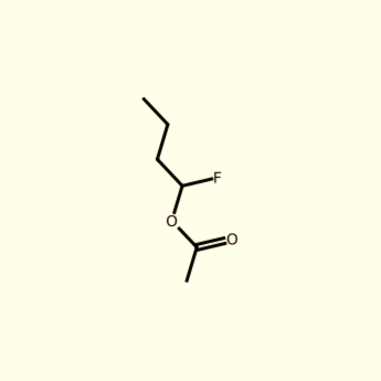 CCCC(F)OC(C)=O